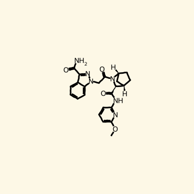 COc1cccc(NC(=O)[C@@H]2[C@H]3CC[C@H](C3)N2C(=O)Cn2nc(C(N)=O)c3ccccc32)n1